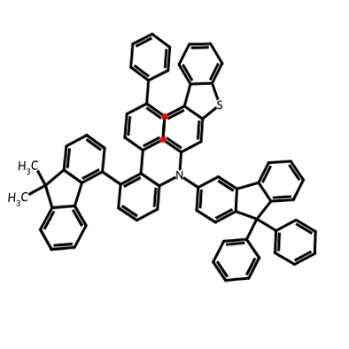 CC1(C)c2ccccc2-c2c(-c3cccc(N(c4ccc5c(c4)-c4ccccc4C5(c4ccccc4)c4ccccc4)c4ccc5c(c4)sc4ccccc45)c3-c3ccc(-c4ccccc4)cc3)cccc21